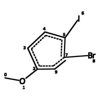 COc1ccc(I)c(Br)c1